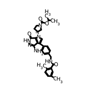 Cc1ccc(C)c(C(=O)NCc2ccc(-c3cn([C@@H]4CCN(C(=O)OC(C)C)C4)c4c(=O)[nH]nc(N)c34)cc2)c1